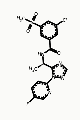 C[C@@H](NC(=O)c1cc(Cl)cc(S(C)(=O)=O)c1)c1ncnn1-c1ccc(F)cn1